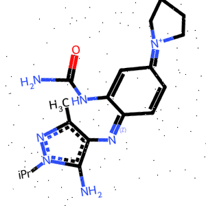 Cc1nn(C(C)C)c(N)c1/N=C1/C=CC(=[N+]2CCCC2)C=C1NC(N)=O